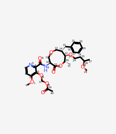 COc1ccnc(C(=O)N[C@H]2COC[C@H](Cc3ccccc3)[C@@H](OCCC(C)OC)[C@H](C)OC2=O)c1OCOC(C)=O